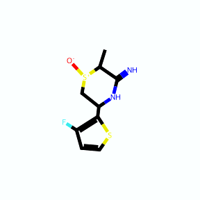 CC1C(=N)NC(c2sccc2F)C[S+]1[O-]